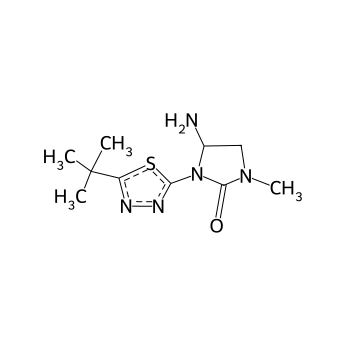 CN1CC(N)N(c2nnc(C(C)(C)C)s2)C1=O